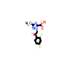 Cc1nc(C(=O)O)n(CC(=O)c2ccc(F)cc2F)n1